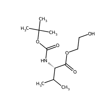 CC(C)[C@H](NC(=O)OC(C)(C)C)C(=O)OCCO